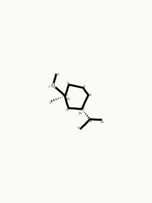 CO[C@@]1(C)CCC[C@H](C(C)C)C1